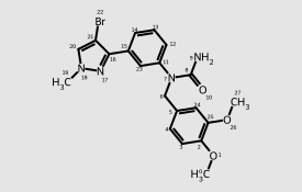 COc1ccc(CN(C(N)=O)c2cccc(-c3nn(C)cc3Br)c2)cc1OC